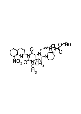 CC#CCN1C(N2CCC[C@@H](NC(=O)OC(C)(C)C)C2)=NC2(C)C1C(=O)N(c1ccc3cccc([N+](=O)[O-])c3n1)C(=O)N2C